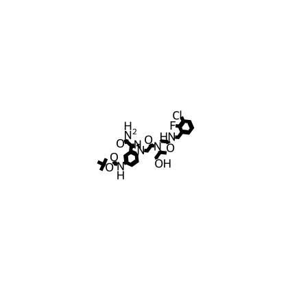 CC(CO)N(CC(=O)NCc1cccc(Cl)c1F)C(=O)Cn1nc(C(N)=O)c2cc(NC(=O)OC(C)(C)C)ccc21